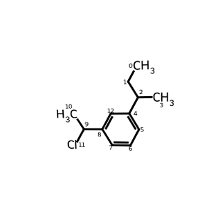 CCC(C)c1cccc(C(C)Cl)c1